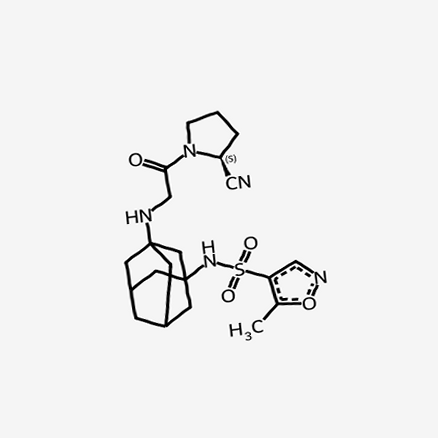 Cc1oncc1S(=O)(=O)NC12CC3CC(CC(NCC(=O)N4CCC[C@H]4C#N)(C3)C1)C2